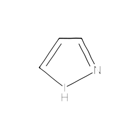 C1=C[IH]N=C1